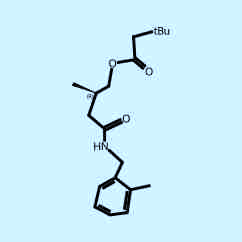 Cc1ccccc1CNC(=O)C[C@@H](C)COC(=O)CC(C)(C)C